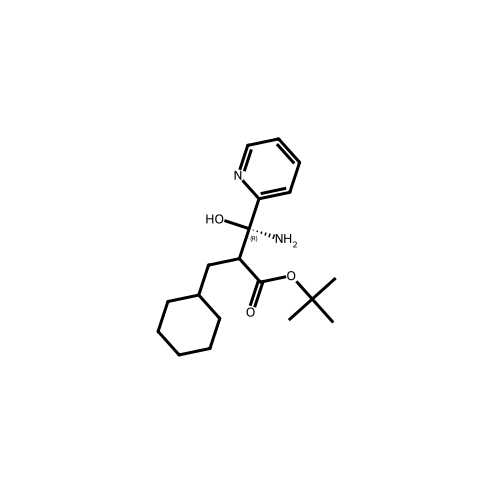 CC(C)(C)OC(=O)C(CC1CCCCC1)[C@@](N)(O)c1ccccn1